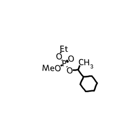 CCOP(=O)(OC)OC(C)C1CCCCC1